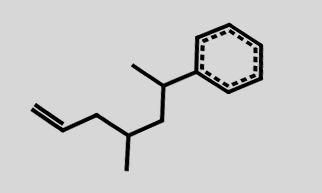 C=CCC(C)CC(C)c1ccccc1